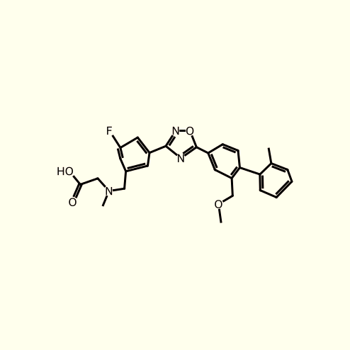 COCc1cc(-c2nc(-c3cc(F)cc(CN(C)CC(=O)O)c3)no2)ccc1-c1ccccc1C